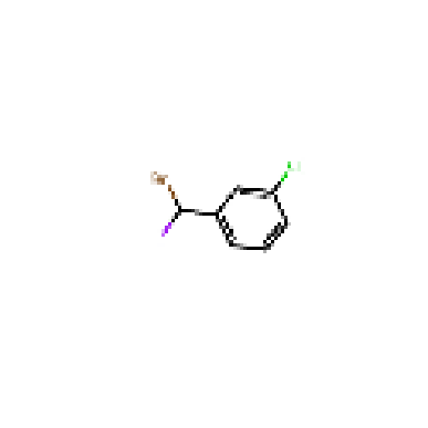 Clc1cccc(C(Br)I)c1